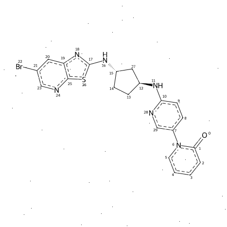 O=c1ccccn1-c1ccc(N[C@H]2CC[C@H](Nc3nc4cc(Br)cnc4s3)C2)nc1